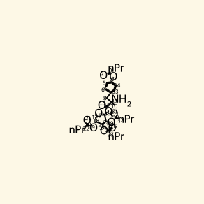 CCCC(=O)Oc1ccc(CC(C)(N)C(=O)O[C@@H]2OCC(OC(=O)CCC)[C@H](OC(=O)CCC)[C@H]2OC(=O)CCC)cc1